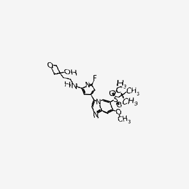 COc1cc2ncc(-c3cc(F)nc(NCCC4(O)COC4)c3)n2cc1S(=O)(=O)C(C)(C)C